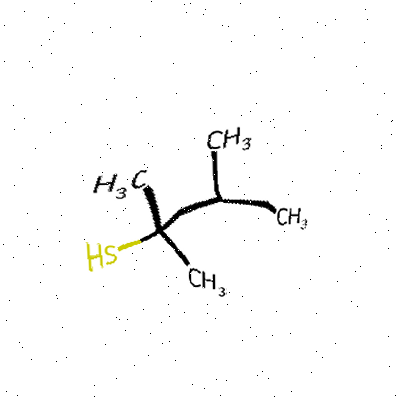 CC(C)C(C)(C)S